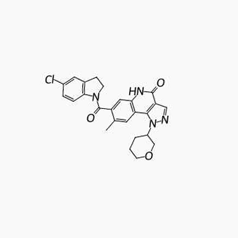 Cc1cc2c(cc1C(=O)N1CCc3cc(Cl)ccc31)[nH]c(=O)c1cnn(C3CCCOC3)c12